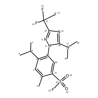 Cc1cc(C(C)C)c(-n2nc(C(F)(F)F)nc2N(C)C)cc1S(=O)(=O)F